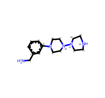 NCc1cccc(N2CCN(N3CCNCC3)CC2)c1